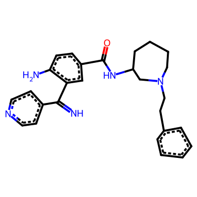 N=C(c1ccncc1)c1cc(C(=O)NC2CCCCN(CCc3ccccc3)C2)ccc1N